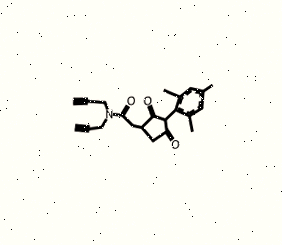 C#CCN(CC#C)C(=O)CC1CC(=O)C(c2c(C)cc(C)cc2C)C1=O